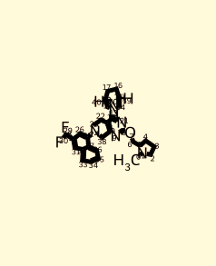 CN1CCCC1COc1nc2c(c(N3C[C@H]4CC[C@@H](C3)N4)n1)CCN(c1cc(C(F)F)cc3ccccc13)C2